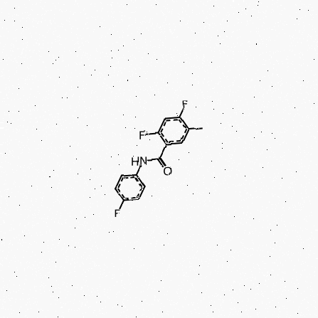 Cc1cc(C(=O)Nc2ccc(F)cc2)c(F)cc1F